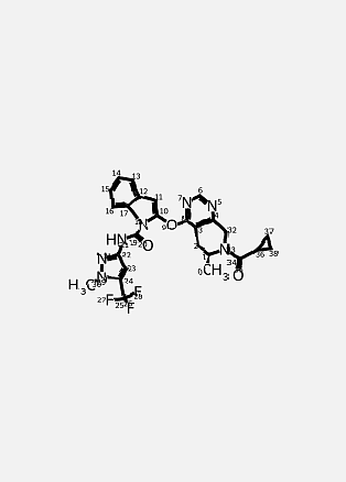 C[C@H]1Cc2c(ncnc2Oc2cc3ccccc3n2C(=O)Nc2cc(C(F)(F)F)n(C)n2)CN1C(=O)C1CC1